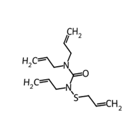 C=CCSN(CC=C)C(=O)N(CC=C)CC=C